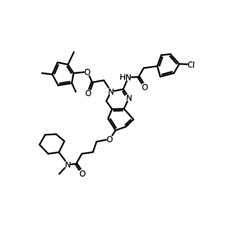 Cc1cc(C)c(OC(=O)CN2Cc3cc(OCCCC(=O)N(C)C4CCCCC4)ccc3N=C2NC(=O)Cc2ccc(Cl)cc2)c(C)c1